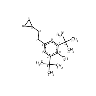 CC(C)(C)c1cc(CCC2CC2)cc(C(C)(C)C)c1O